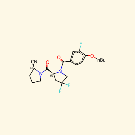 CCCCOc1ccc(C(=O)N2CC(F)(F)C[C@H]2C(=O)N2CCC[C@H]2C#N)cc1F